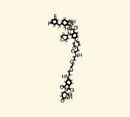 O=C(CN1CCN(c2ccc(C(=O)Nc3n[nH]c4ccc(Cc5cc(F)cc(F)c5)cc34)c(NC3CCOCC3)c2)CC1)NCCOCCOCCNc1ccc2c(c1)C(=O)N(C1CCC(=O)NC1=O)C2=O